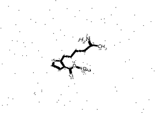 CC(N)CCCCc1sccc1C(=O)OC(C)(C)C